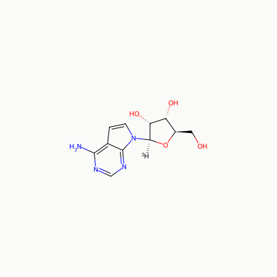 [2H][C@@]1(n2ccc3c(N)ncnc32)O[C@H](CO)[C@@H](O)[C@H]1O